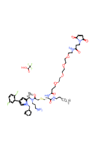 CC(C)(C)[C@H](c1cc(-c2cc(F)ccc2F)cn1Cc1ccccc1)N(CCCN)C(=O)CSC[C@H](NC(=O)CCOCCOCCOCCOCCNC(=O)CCN1C(=O)C=CC1=O)C(=O)NCCC(=O)O.O=C(O)C(F)(F)F